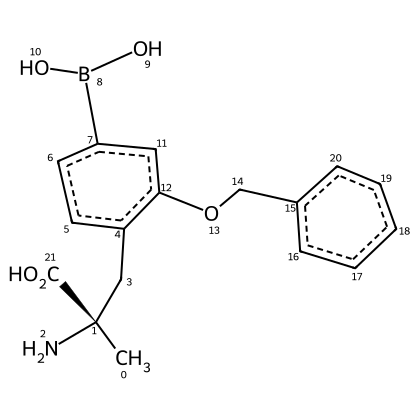 C[C@](N)(Cc1ccc(B(O)O)cc1OCc1ccccc1)C(=O)O